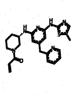 C=CC(=O)N1CCC[C@H](Nc2cc(Cc3ccccn3)cc(Nc3ncc(C)s3)n2)C1